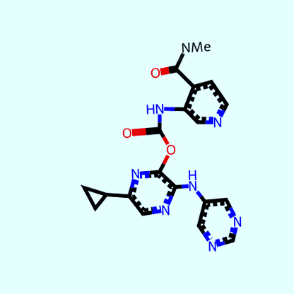 CNC(=O)c1ccncc1NC(=O)Oc1nc(C2CC2)cnc1Nc1cncnc1